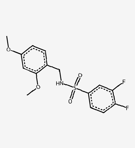 COc1ccc(CNS(=O)(=O)c2ccc(F)c(F)c2)c(OC)c1